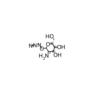 [N-]=[N+]=NOC1O[C@H](CO)[C@@H](O)[C@H](O)[C@@H]1N